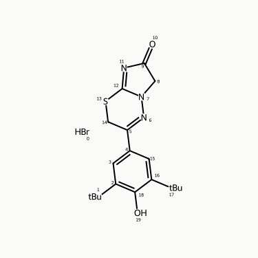 Br.CC(C)(C)c1cc(C2=NN3CC(=O)N=C3SC2)cc(C(C)(C)C)c1O